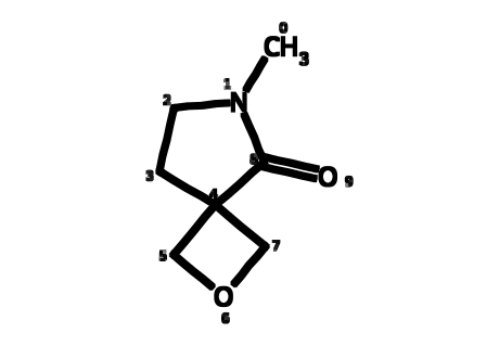 CN1CCC2(COC2)C1=O